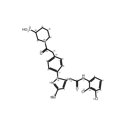 CC(C)(C)c1cc(NC(=O)Nc2cccc(Cl)c2Cl)n(-c2ccc(CC(=O)N3CCCC(C(=O)O)C3)cc2)n1